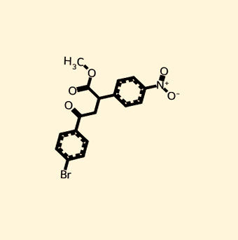 COC(=O)C(CC(=O)c1ccc(Br)cc1)c1ccc([N+](=O)[O-])cc1